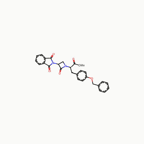 COC(=O)C(Cc1ccc(OCc2ccccc2)cc1)N1CC(N2C(=O)c3ccccc3C2=O)C1=O